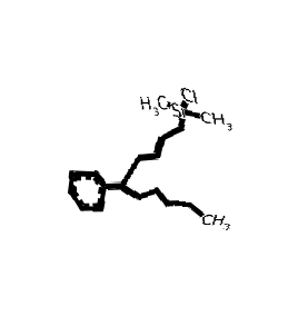 CCCCCC(CC=CC[Si](C)(C)Cl)c1ccccc1